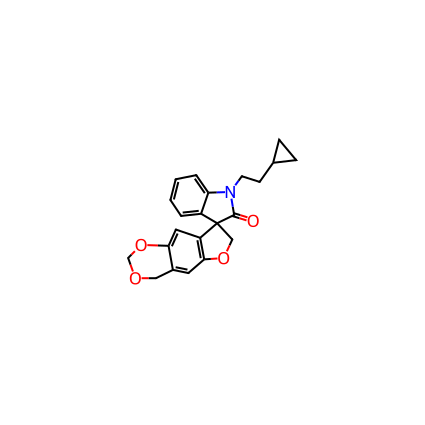 O=C1N(CCC2CC2)c2ccccc2C12COc1cc3c(cc12)OCOC3